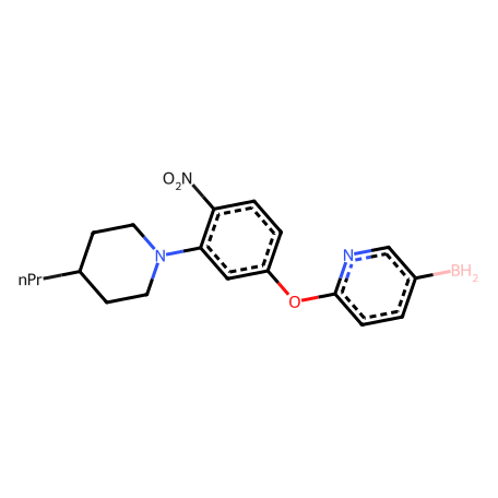 Bc1ccc(Oc2ccc([N+](=O)[O-])c(N3CCC(CCC)CC3)c2)nc1